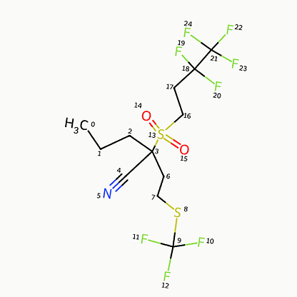 CCCC(C#N)(CCSC(F)(F)F)S(=O)(=O)CCC(F)(F)C(F)(F)F